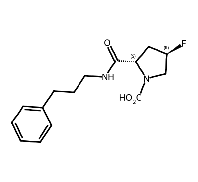 O=C(NCCCc1ccccc1)[C@@H]1C[C@@H](F)CN1C(=O)O